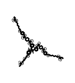 C=CC(=O)OCCCCCCOc1ccc(OC(=O)C2CCC(C(=O)Oc3cccc(-c4nc5ccc(OCCOCCOC(=O)C=C)cc5nc4-c4cccc(OC(=O)C5CCC(C(=O)Oc6ccc(OCCCCCCOC(=O)C=C)cc6)CC5)c4)c3)CC2)cc1